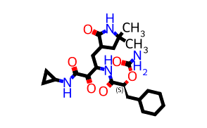 CC1(C)CC(CC(NC(=O)[C@H](CC2CCCCC2)OC(N)=O)C(=O)C(=O)NC2CC2)C(=O)N1